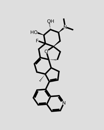 CN(C)[C@H]1C[C@@]23CC[C@@]4(O2)C(=CC[C@]2(C)C(c5cccc6ccncc56)=CCC24)CC3(F)[C@@H](O)[C@@H]1O